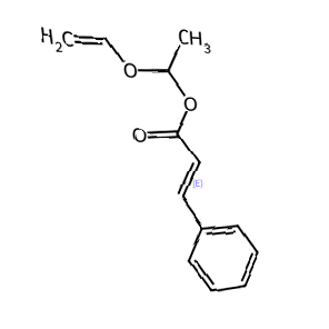 C=COC(C)OC(=O)/C=C/c1ccccc1